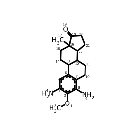 COc1c(N)cc2c(c1N)CCC1C2CCC2(C)C(=O)CCC12